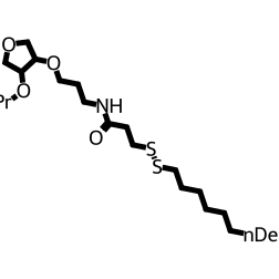 CCCCCCCCCCCCCCCCSSCCC(=O)NCCCOC1COCC1OC(C)C